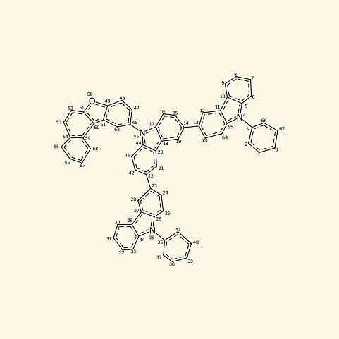 c1ccc(-n2c3ccccc3c3cc(-c4ccc5c(c4)c4cc(-c6ccc7c(c6)c6ccccc6n7-c6ccccc6)ccc4n5-c4ccc5oc6ccc7ccccc7c6c5c4)ccc32)cc1